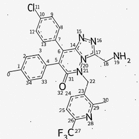 Cc1ccc(-c2c(-c3ccc(Cl)cc3)c3nnc(CN)n3n(Cc3ccc(C(F)(F)F)nc3C)c2=O)cc1